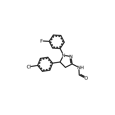 O=CNC1=NN(c2cccc(F)c2)C(c2ccc(Cl)cc2)C1